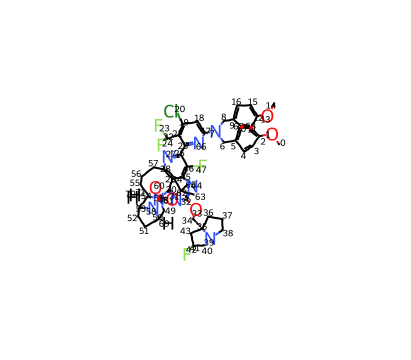 COc1ccc(CN(Cc2ccc(OC)cc2)c2cc(Cl)c(C(F)F)c(-c3nc4c5c(nc(OC[C@@]67CCCN6C[C@H](F)C7)nc5c3F)N3C[C@H]5CC[C@@H]([C@H]3CCC4)N5C(=O)OC(C)(C)C)n2)cc1